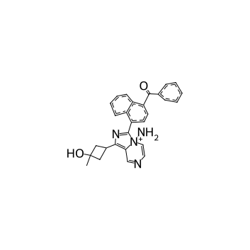 CC1(O)CC(C2=C3C=NC=C[N+]3(N)C(c3ccc(C(=O)c4ccccc4)c4ccccc34)=N2)C1